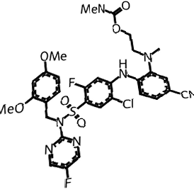 CNC(=O)OCCN(C)c1cc(C#N)ccc1Nc1cc(F)c(S(=O)(=O)N(Cc2ccc(OC)cc2OC)c2ncc(F)cn2)cc1Cl